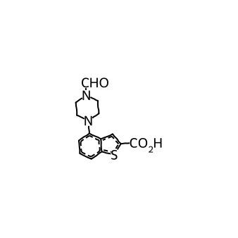 O=CN1CCN(c2cccc3sc(C(=O)O)cc23)CC1